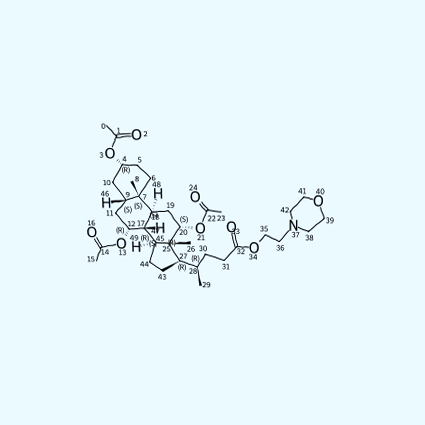 CC(=O)O[C@@H]1CC[C@@]2(C)[C@@H](C1)C[C@@H](OC(C)=O)[C@@H]1[C@@H]2C[C@H](OC(C)=O)[C@]2(C)[C@@H]([C@H](C)CCC(=O)OCCN3CCOCC3)CC[C@@H]12